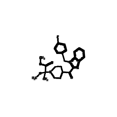 COC(=O)C(C)(OC)N1CCC(C(=O)c2nc3ccccc3n2Cc2ccc(F)cc2)CC1